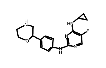 Fc1cnc(Nc2ccc(C3CNCCO3)cc2)nc1NC1CC1